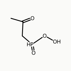 CC(=O)C[PH](=O)OO